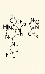 Cc1nonc1Cn1c2nc3nc(N4CCC(F)(F)C4)c2n1CC(C)(C)N3